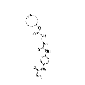 NC(=S)Nc1ccc(NC(=S)NCNC(=O)OC2CCC#CCCC2)cc1